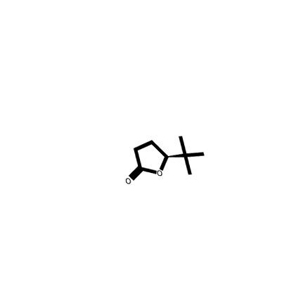 CC(C)(C)[C@@H]1CCC(=O)O1